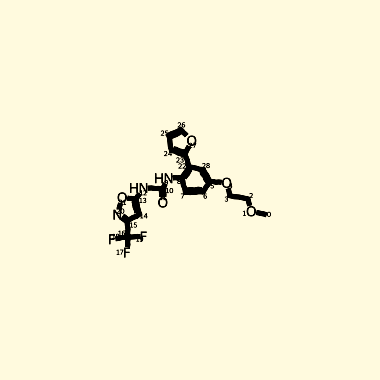 COCCOc1ccc(NC(=O)Nc2cc(C(F)(F)F)no2)c(-c2ccco2)c1